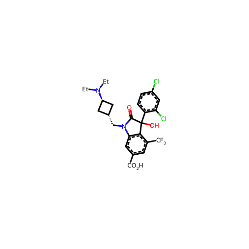 CCN(CC)[C@H]1C[C@H](CN2C(=O)C(O)(c3ccc(Cl)cc3Cl)c3c2cc(C(=O)O)cc3C(F)(F)F)C1